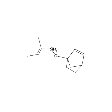 CC=C(C)[SiH2]OC12C=CC(CC1)C2